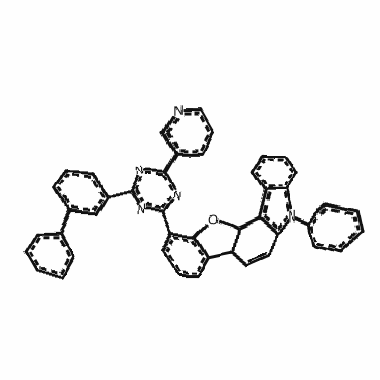 C1=CC2c3cccc(-c4nc(-c5cccnc5)nc(-c5cccc(-c6ccccc6)c5)n4)c3OC2c2c1n(-c1ccccc1)c1ccccc21